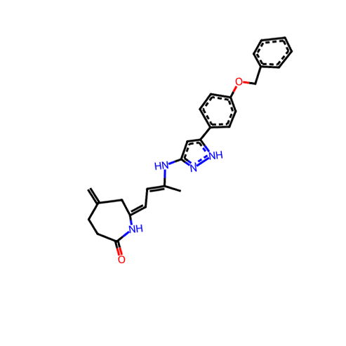 C=C1CCC(=O)N/C(=C/C=C(\C)Nc2cc(-c3ccc(OCc4ccccc4)cc3)[nH]n2)C1